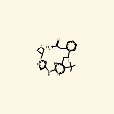 NC(=O)Cc1ccccc1CCc1nc(Nc2cnn(C3COC3)c2)ncc1C(F)(F)F